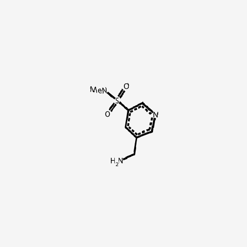 CNS(=O)(=O)c1cncc(CN)c1